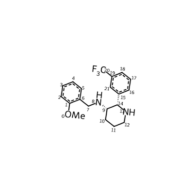 COc1ccccc1CN[C@H]1CCCN[C@H]1c1cccc(C(F)(F)F)c1